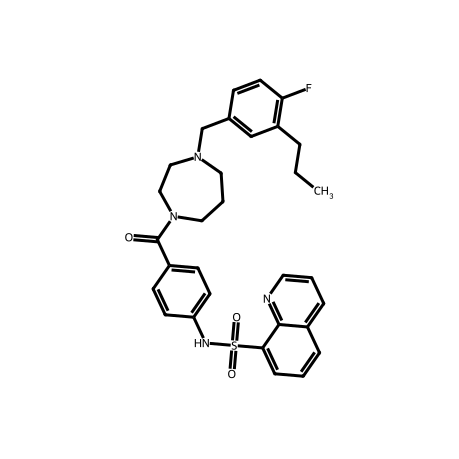 CCCc1cc(CN2CCCN(C(=O)c3ccc(NS(=O)(=O)c4cccc5cccnc45)cc3)CC2)ccc1F